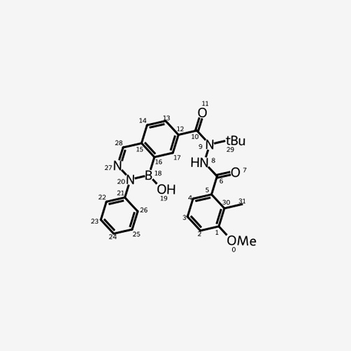 COc1cccc(C(=O)NN(C(=O)c2ccc3c(c2)B(O)N(c2ccccc2)N=C3)C(C)(C)C)c1C